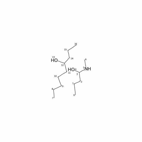 CCCC(O)NC.CCCCCC(O)CCC